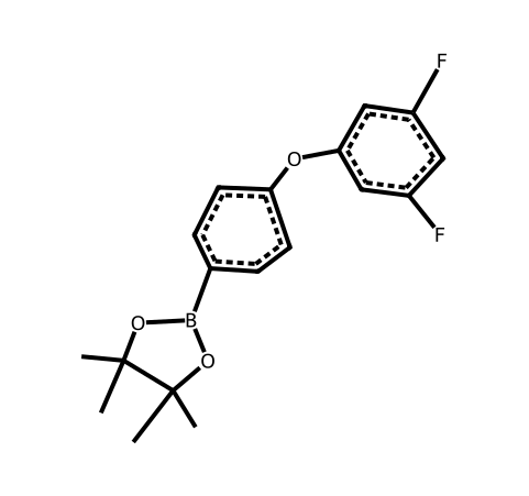 CC1(C)OB(c2ccc(Oc3cc(F)cc(F)c3)cc2)OC1(C)C